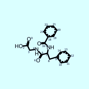 O=C(O)CNC(=O)C(Cc1[c]cccc1)NC(=O)c1ccccc1